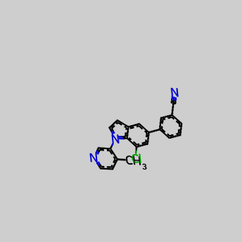 Cc1ccncc1-n1ccc2cc(-c3cccc(C#N)c3)cc(Cl)c21